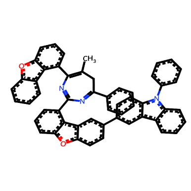 CC1=C(c2cccc3oc4ccccc4c23)N=C(c2cccc3oc4ccc(-c5ccc6c(c5)c5ccccc5n6-c5ccccc5)cc4c23)N=C(c2ccccc2)C1